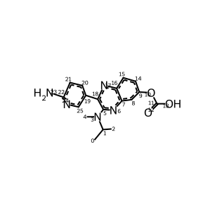 CC(C)N(C)c1nc2cc(OC(=O)O)ccc2nc1-c1ccc(N)nc1